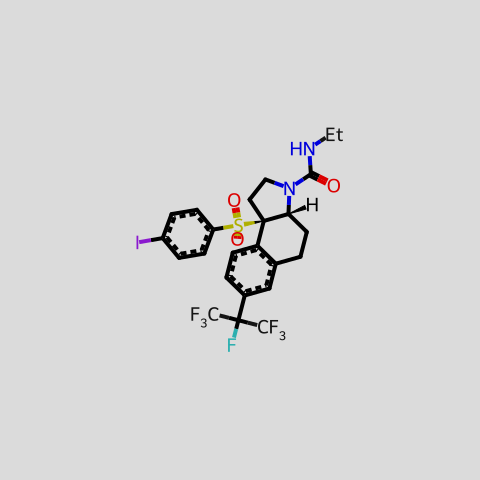 CCNC(=O)N1CC[C@@]2(S(=O)(=O)c3ccc(I)cc3)c3ccc(C(F)(C(F)(F)F)C(F)(F)F)cc3CC[C@@H]12